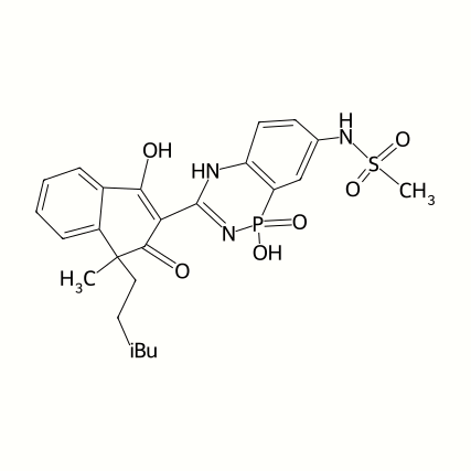 CCC(C)CCC1(C)C(=O)C(C2=NP(=O)(O)c3cc(NS(C)(=O)=O)ccc3N2)=C(O)c2ccccc21